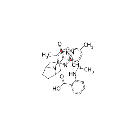 Cc1cc(C(C)Nc2ccccc2C(=O)O)c2nc(N3C4CCC3CC(c3ccnn3C)C4)c(C)c(=O)n2c1